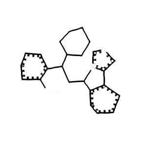 O=C(O)c1ccccc1C(CC1c2ccccc2-c2cncn21)C1CCCCC1